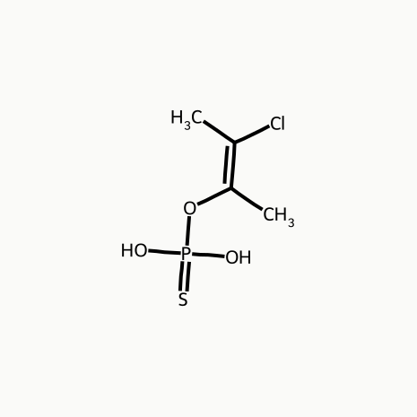 CC(Cl)=C(C)OP(O)(O)=S